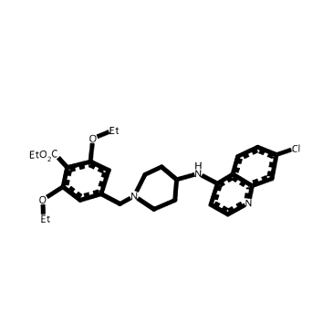 CCOC(=O)c1c(OCC)cc(CN2CCC(Nc3ccnc4cc(Cl)ccc34)CC2)cc1OCC